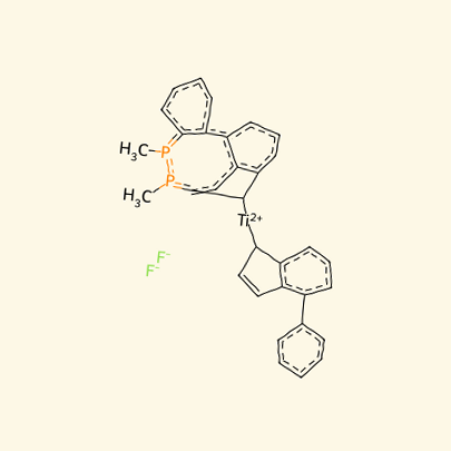 Cp1c2cc3c(cccc3c3ccccc3p1C)[CH]2[Ti+2][CH]1C=Cc2c(-c3ccccc3)cccc21.[F-].[F-]